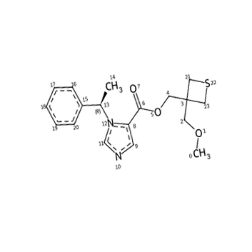 COCC1(COC(=O)c2cncn2[C@H](C)c2ccccc2)CSC1